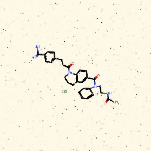 CC(=O)NCCN(C(=O)c1ccc2c(c1)CCCN2C(=O)CCc1ccc(C(=N)N)cc1)c1ccccc1.Cl